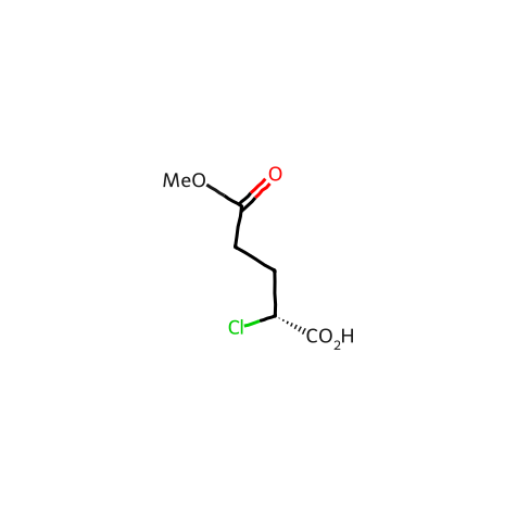 COC(=O)CC[C@@H](Cl)C(=O)O